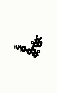 Nc1ccc(N2CCC[C@H](N(Cc3ccncc3Cl)Cc3cn4c5c(c(F)c(F)cc5c3=O)OCC4)C2)cn1